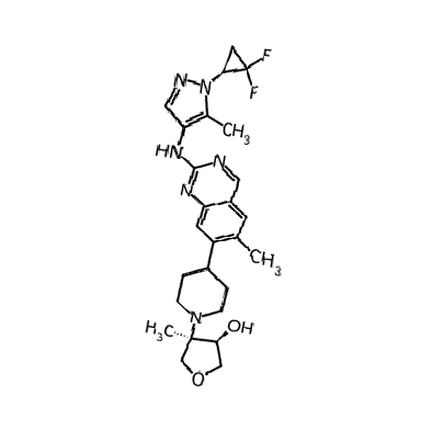 Cc1cc2cnc(Nc3cnn([C@H]4CC4(F)F)c3C)nc2cc1C1CCN([C@]2(C)COC[C@@H]2O)CC1